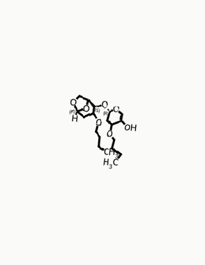 CCCCOC1C[C@H](O[C@H]2C(OCCCC)C[C@@H]3OCC2O3)OC=C1O